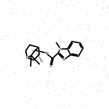 Cn1c(C(=O)N[C@@H]2C3CCN(CC3)C2(C)C)nc2ccccc21